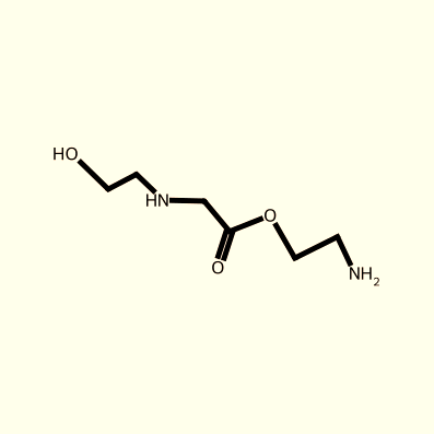 NCCOC(=O)CNCCO